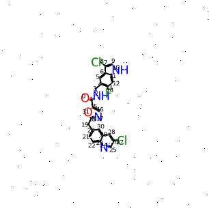 O=C(NCc1cc2c(Cl)c[nH]c2cc1F)c1cnc(Cc2ccc3ncc(Cl)cc3c2)o1